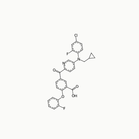 O=C(c1ccc(Oc2ccccc2F)c(C(=O)O)c1)c1ccc(N(CC2CC2)c2ccc(Cl)cc2F)cn1